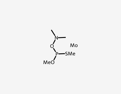 COP(ON(C)C)SC.[Mo]